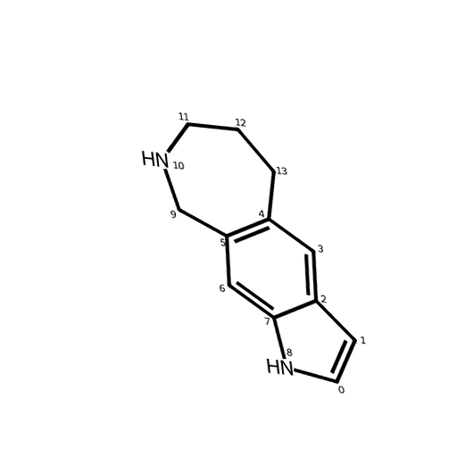 c1cc2cc3c(cc2[nH]1)CNCCC3